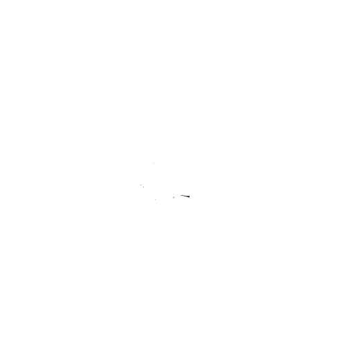 O=C1[C@H](Oc2ccc(CO)cc2)C[C@@H](c2ccccc2Cl)N1c1ccc(Cl)cc1